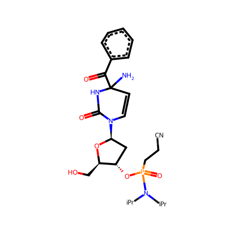 CC(C)N(C(C)C)P(=O)(CCC#N)O[C@H]1C[C@H](N2C=CC(N)(C(=O)c3ccccc3)NC2=O)O[C@@H]1CO